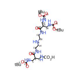 CC(C)(C)OC(=O)NCC(CNC(=O)O)C(=O)NCCNCCNC(=O)C(CNC(=O)OC(C)(C)C)CNC(=O)OC(C)(C)C